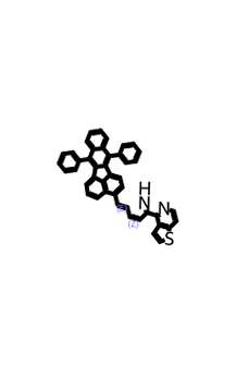 N=C(/C=C\C=C\c1ccc2c3c(cccc13)-c1c-2c(-c2ccccc2)c2ccccc2c1-c1ccccc1)c1nccc2sccc12